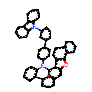 c1ccc(-c2ccccc2N(c2ccc(-c3cccc(-n4c5ccccc5c5ccccc54)c3)cc2)c2cccc3oc4c5ccccc5ccc4c23)cc1